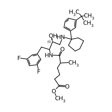 COC(=O)CCCC(C)C(=O)NC(Cc1cc(F)cc(F)c1)[C@@H](O)CNC1(c2cccc(C(C)(C)C)c2)CCCCC1